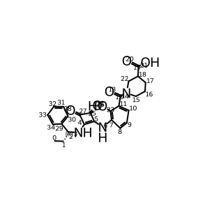 CC[C@@H](Nc1c(Nc2cccc(C(=O)N3CCCC(C(=O)O)C3)c2O)c(=O)c1=O)c1ccccc1